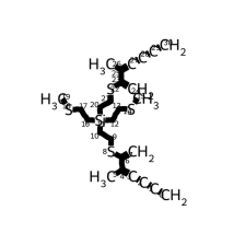 C=C=C=C=C(C)C(=C)SCC[Si](CCSC)(CCSC)CCSC(=C)C(C)=C=C=C=C